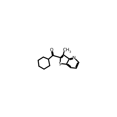 Cc1c(C(=O)C2CCCCC2)sc2cccnc12